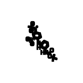 CN(c1ccc(Nc2cccc(NC(=O)OC(C)(C)C)c2)c([N+](=O)[O-])c1)S(C)(=O)=O